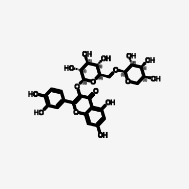 O=c1c(O[C@@H]2O[C@H](CO[C@@H]3OC[C@H](O)[C@H](O)[C@H]3O)[C@@H](O)[C@H](O)[C@H]2O)c(-c2ccc(O)c(O)c2)oc2cc(O)cc(O)c12